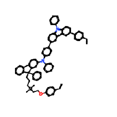 C=Cc1ccc(OCC[Si](C)(C)CCCC2(c3ccccc3)c3ccccc3-c3ccc(N(c4ccccc4)c4ccc(-c5ccc6c(c5)c5cc(-c7ccc(C=C)cc7)ccc5n6-c5ccccc5)cc4)cc32)cc1